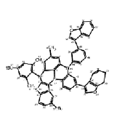 Cc1cc2c3c(c1)N(c1c(C)cc(C(C)(C)C)cc1C)c1sc4ccc(C(C)(C)C)cc4c1B3c1ccc(-c3coc4c3C=CCC4)cc1N2c1cccc(-c2coc3ccccc23)c1